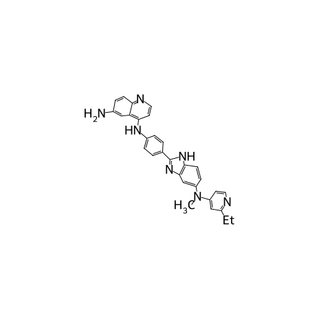 CCc1cc(N(C)c2ccc3[nH]c(-c4ccc(Nc5ccnc6ccc(N)cc56)cc4)nc3c2)ccn1